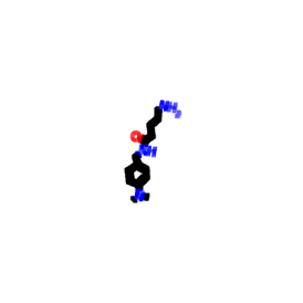 CN(C)c1ccc(CNC(=O)CCCCN)cc1